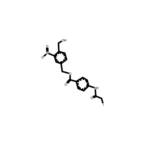 O=C(CI)Nc1ccc(C(=O)OCc2ccc(CO)c([N+](=O)[O-])c2)cc1